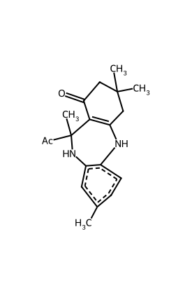 CC(=O)C1(C)Nc2cc(C)ccc2NC2=C1C(=O)CC(C)(C)C2